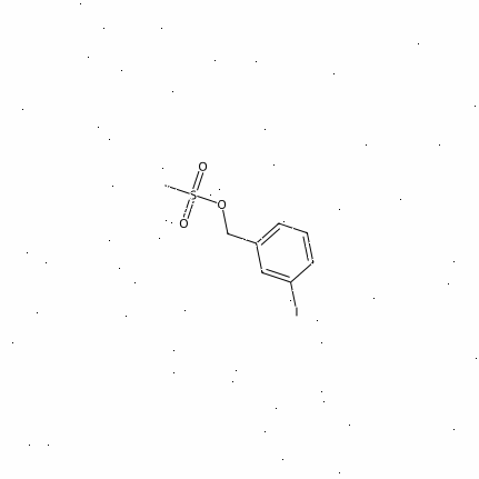 CS(=O)(=O)OCc1cccc(I)c1